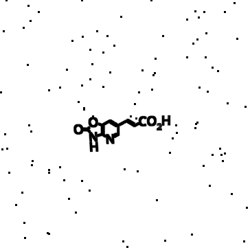 O=C(O)/C=C/c1cnc2[nH]c(=O)oc2c1